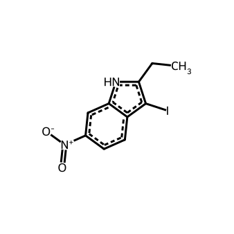 CCc1[nH]c2cc([N+](=O)[O-])ccc2c1I